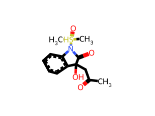 CC(=O)CC1(O)C(=O)N([SH](C)(C)=O)c2ccccc21